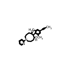 CC#Cc1cc(C)c(C2C(=O)CCCN(c3ccccn3)CCCC2O)c(C)c1